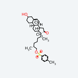 Cc1ccc(S(=O)(=O)OC[C@H](C)CCC[C@@H](C)[C@H]2C(=O)C[C@H]3[C@@H]4CC=C5CC(O)CC[C@]5(C)[C@H]4CC[C@]23C)cc1